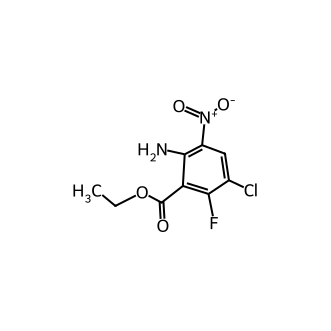 CCOC(=O)c1c(N)c([N+](=O)[O-])cc(Cl)c1F